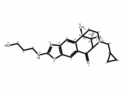 C[C@H]1C2C(=O)c3cc4sc(NCCCO)nc4cc3[C@]1(C)CCN2CC1CC1